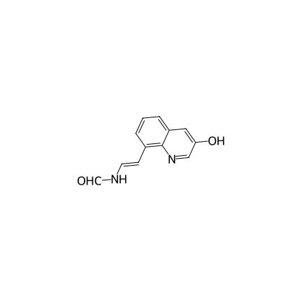 O=CNC=Cc1cccc2cc(O)cnc12